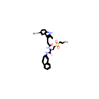 COc1ccc2[nH]c(C)c(CC(=O)N[C@@H](CCS(=O)(=O)CCC(C)=O)C(=O)Nc3ccc4ccccc4c3)c2c1